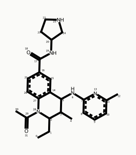 CCC1C(C)C(Nc2cccc(C)n2)c2cc(C(=O)NC3CCNC3)ccc2N1C(C)=O